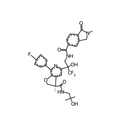 CN1Cc2cc(C(=O)NCC(O)(c3cc4c(c(-c5ccc(F)cc5)n3)OC[C@]4(C)C(=O)NCC(C)(C)O)C(F)(F)F)ccc2C1=O